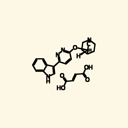 O=C(O)C=CC(=O)O.c1ccc2c(-c3ccc(O[C@@H]4CN5CCC4CC5)nn3)c[nH]c2c1